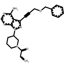 C=CC(=O)N1CCCC(n2nc(C#CCOCc3ccccc3)c3c(N)ncnc32)C1